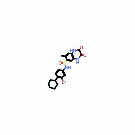 Cc1cc2[nH]c(=O)c(=O)[nH]c2cc1[S+]([O-])Nc1ccc(C2CCCCC2)c(Br)c1